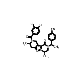 CC(c1ccc(C#N)cc1)N1C[C@@H](C)n2nc3c(c2C1=O)CN(C(=O)c1ccc(Cl)c(Cl)c1)[C@H](C)C3